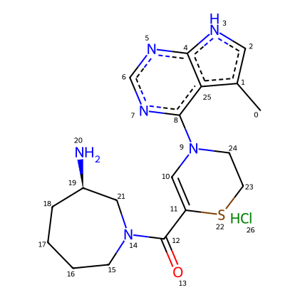 Cc1c[nH]c2ncnc(N3C=C(C(=O)N4CCCC[C@@H](N)C4)SCC3)c12.Cl